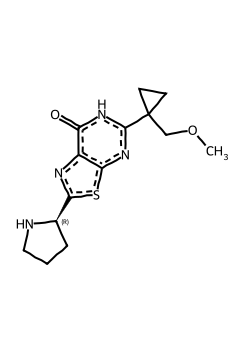 COCC1(c2nc3sc([C@H]4CCCN4)nc3c(=O)[nH]2)CC1